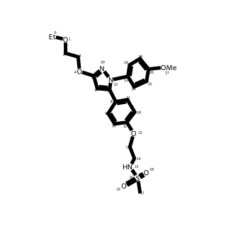 CCOCCOc1cc(-c2ccc(OCCNS(C)(=O)=O)cc2)n(-c2ccc(OC)cc2)n1